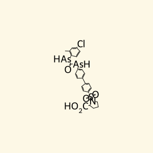 Cc1cc(Cl)ccc1[AsH]C(=O)[AsH]c1ccc(-c2ccc(S(=O)(=O)N3CCC[C@H]3C(=O)O)cc2)cc1